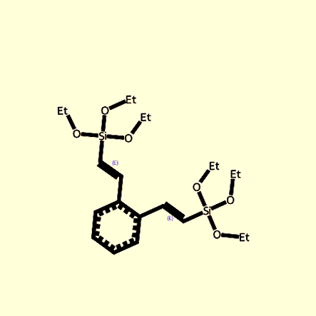 CCO[Si](/C=C/c1ccccc1/C=C/[Si](OCC)(OCC)OCC)(OCC)OCC